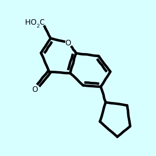 O=C(O)c1cc(=O)c2cc(C3CCCC3)ccc2o1